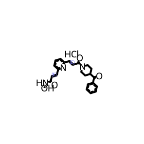 Cl.O=C(/C=C/c1cccc(/C=C/C(=O)N2CCC(C(=O)c3ccccc3)CC2)n1)NO